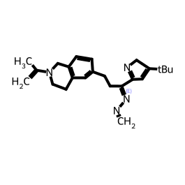 C=N/N=C(\CCc1ccc2c(c1)CCN(C(=C)C)C2)C1=NCC(C(C)(C)C)=C1